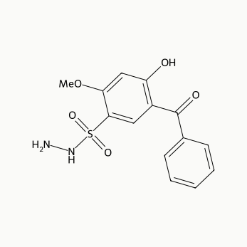 COc1cc(O)c(C(=O)c2ccccc2)cc1S(=O)(=O)NN